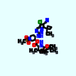 CCC1(c2c(C#N)c(Cl)c3cnc(N[C@H]4CCN(S(C)(=O)=O)C[C@H]4OC(=O)[C@H](NC(=O)OC(C)(C)C)C(C)C)nn23)CCC1